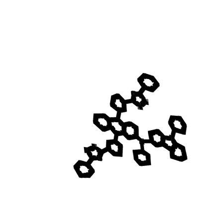 c1ccc(-c2nnc(-c3cccc(-c4c5ccccc5c(-c5cccc(-c6nnc(-c7ccccc7)o6)c5)c5cc(N(c6ccccc6)c6ccc7c(c6)c6ccccc6n7-c6ccccc6)ccc45)c3)o2)cc1